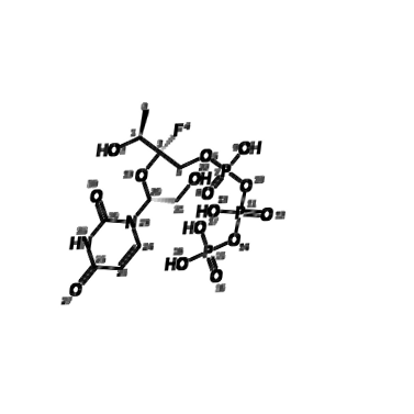 C[C@H](O)[C@@](F)(COP(=O)(O)OP(=O)(O)OP(=O)(O)O)O[C@H](CO)n1ccc(=O)[nH]c1=O